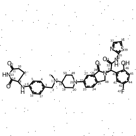 CN(Cc1ccc(NC2CCC(=O)NC2=O)cc1)C1CCN(c2ccc3c(c2)C(=O)N(C(C(=O)Nc2nccs2)c2cc(F)ccc2O)C3)CC1